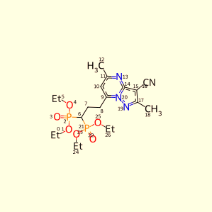 CCOP(=O)(OCC)C(CCc1cc(C)nc2c(C#N)c(C)nn12)P(=O)(OCC)OCC